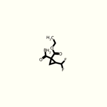 BC(=O)C1(C(=O)OCC)CC1C(F)F